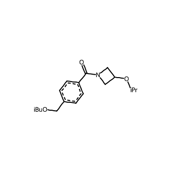 CC(C)COCc1ccc(C(=O)N2CC(OC(C)C)C2)cc1